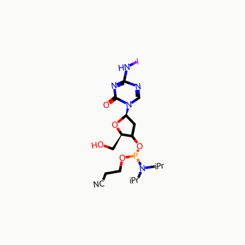 CC(C)N(C(C)C)P(OCCC#N)OC1C[C@H](n2cnc(NI)nc2=O)O[C@@H]1CO